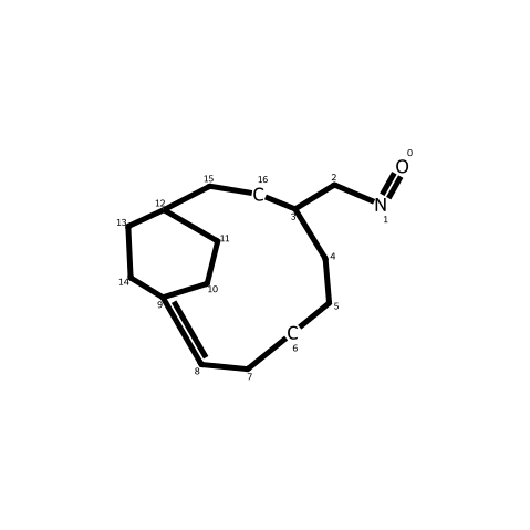 O=NCC1CCCCC=C2CCC(CC2)CC1